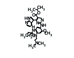 C=CC(=O)Nc1cc(Nc2ncc(C(=O)OC(C)C)c(-c3c[nH]c4ncccc34)n2)c(OC)cc1N(C)CCN(C)C